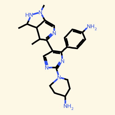 CC1NN(C)C2=CN=C(c3cnc(N4CCC(N)CC4)nc3-c3ccc(N)cc3)C(C)C21